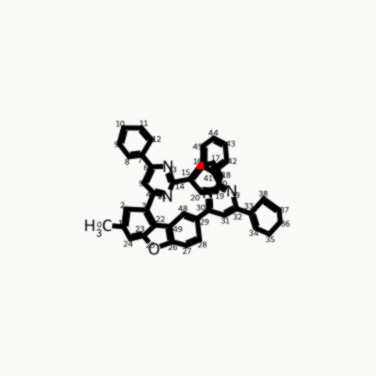 Cc1cc(-c2cc(-c3ccccc3)nc(-c3ccccc3)n2)c2c(c1)oc1ccc(-c3cc(C4=CCCC=C4)nc(-c4ccccc4)n3)cc12